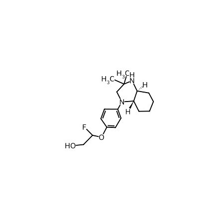 CC1(C)CN(c2ccc(OC(F)CO)cc2)[C@H]2CCCC[C@@H]2N1